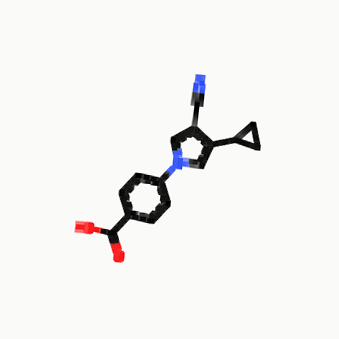 N#Cc1cn(-c2ccc(C(=O)O)cc2)cc1C1CC1